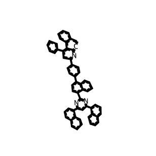 c1ccc(-c2cc(-c3ccc(-c4ccc(-c5nc(-c6cccc7ccccc67)cc(-c6cccc7ccccc67)n5)c5ccccc45)cc3)nc3ccc4ccccc4c23)cc1